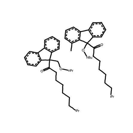 CCCCOC1(C(=O)CCCCCCC(C)C)c2ccccc2-c2cccc(C)c21.CCCOCC1(C(=O)CCCCCCC(C)C)c2ccccc2-c2ccccc21